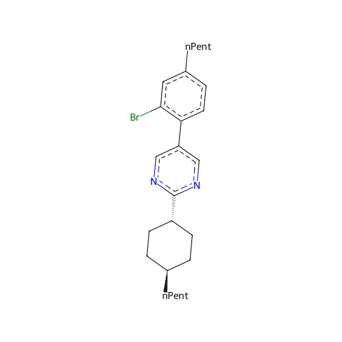 CCCCCc1ccc(-c2cnc([C@H]3CC[C@H](CCCCC)CC3)nc2)c(Br)c1